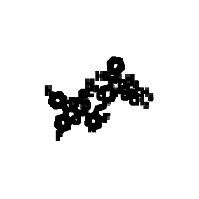 COC(=O)N[C@H](C(=O)Nc1cncc(F)c1CC[C@@H]1CN(C(=O)OC(C)(C)C)[C@H](c2nc3ccccc3[nH]2)CO1)C(c1ccc(F)cc1)c1ccc(F)cc1